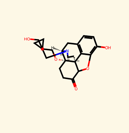 O=C1CC[C@@]2(OCCCO)[C@H]3Cc4ccc(O)c5c4[C@@]2(CCN3CC2CC2)C1O5